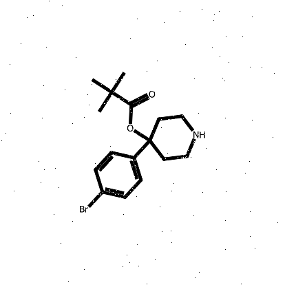 CC(C)(C)C(=O)OC1(c2ccc(Br)cc2)CCNCC1